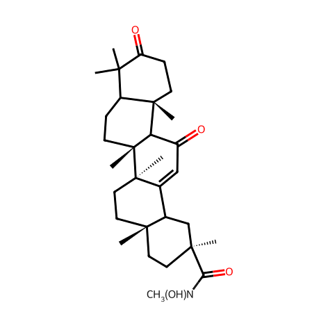 CN(O)C(=O)[C@@]1(C)CC[C@]2(C)CC[C@]3(C)C(=CC(=O)C4[C@@]5(C)CCC(=O)C(C)(C)C5CC[C@]43C)C2C1